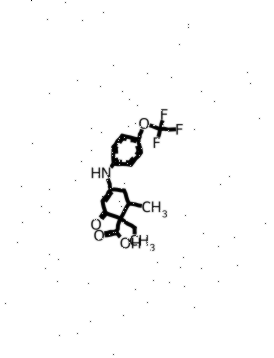 CCC1(C(=O)O)C(=O)C=C(Nc2ccc(OC(F)(F)F)cc2)CC1C